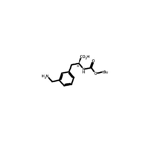 CC(C)(C)OC(=O)N[C@@H](Cc1cccc(CN)c1)C(=O)O